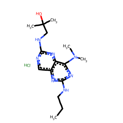 CCCNc1nc(N(C)C)c2nc(NCC(C)(C)O)ncc2n1.Cl